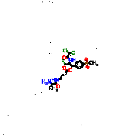 C[C@@H](N)C(=O)NCCCC(=O)O[C@H](c1ccc(S(C)(=O)=O)cc1)[C@@H](CF)NC(=O)C(Cl)Cl